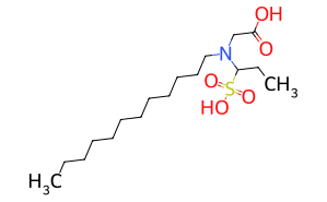 CCCCCCCCCCCCN(CC(=O)O)C(CC)S(=O)(=O)O